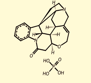 O=C1C[C@@H]2OCC=C3CN4CC[C@]56c7ccccc7N1[C@H]5[C@H]2[C@H]3C[C@H]46.O=P(O)(O)O